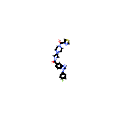 O=C(c1ccc2c(c1)ncn2-c1ccc(F)cc1)N1CC(N2CCN(C(=O)c3cscn3)CC2)C1